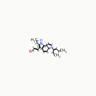 C=C/C(=C\CC)N1C=CC2c3[nH]c(CC)c(/C=C/Br)c3C=CC21